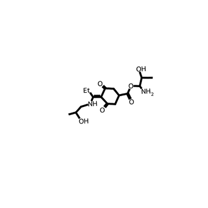 CCC(NCC(C)O)=C1C(=O)CC(C(=O)OC(N)C(C)O)CC1=O